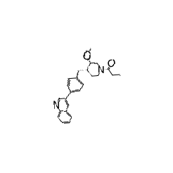 CCC(=O)N1CC[C@H](Cc2ccc(-c3cnc4ccccc4c3)cc2)[C@@H](OC)C1